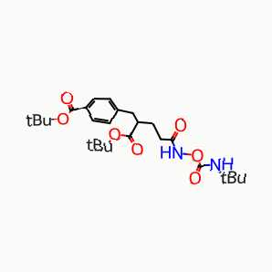 CC(C)(C)NC(=O)ONC(=O)CCC(Cc1ccc(C(=O)OC(C)(C)C)cc1)C(=O)OC(C)(C)C